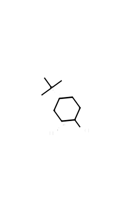 CC(C)(C)[C@@H]1CCC(O)[C@H](O)C1